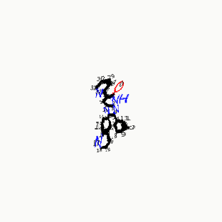 O=c1[nH]c2nc(-c3ccccc3)c(-c3ccc4ncccc4c3)nc2cc1-c1ccccn1